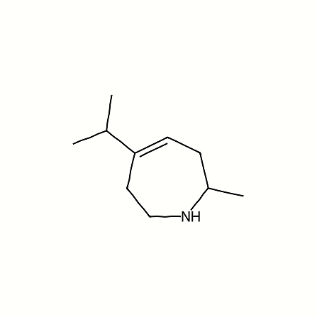 CC1CC=C(C(C)C)CCN1